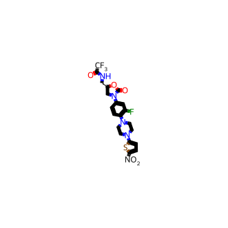 O=C1O[C@@H](CNC(=O)C(F)(F)F)CN1c1ccc(N2CCN(c3ccc([N+](=O)[O-])s3)CC2)c(F)c1